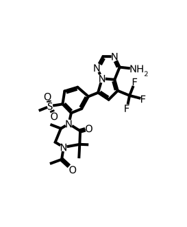 CC(=O)N1CC(C)N(c2cc(-c3cc(C(F)(F)F)c4c(N)ncnn34)ccc2S(C)(=O)=O)C(=O)C1(C)C